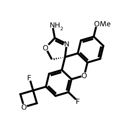 COc1ccc2c(c1)[C@@]1(COC(N)=N1)c1cc(C3(F)COC3)cc(F)c1O2